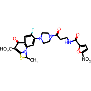 CC1Sc2c(C(=O)O)c(=O)c3cc(F)c(N4CCN(C(=O)CCNC(=O)c5ccc([N+](=O)[O-])o5)CC4)cc3n21